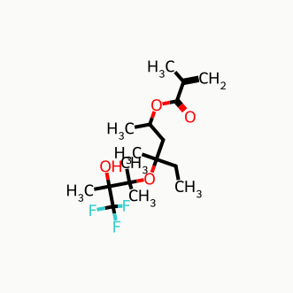 C=C(C)C(=O)OC(C)CC(C)(CC)OC(C)(C)C(C)(O)C(F)(F)F